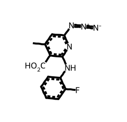 Cc1cc(N=[N+]=[N-])nc(Nc2ccccc2F)c1C(=O)O